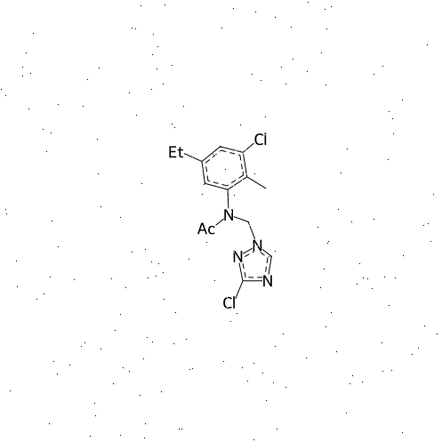 CCc1cc(Cl)c(C)c(N(Cn2cnc(Cl)n2)C(C)=O)c1